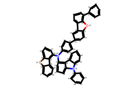 c1ccc(-c2cccc3c2oc2ccc(-c4ccc(N(c5cccc6sc7ccccc7c56)c5cccc6c5c5ccccc5n6-c5ccccc5)cc4)cc23)cc1